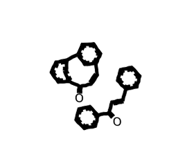 O=C(/C=C/c1ccccc1)c1ccccc1.O=C1/C=C\c2cccc(c2)-c2cccc1c2